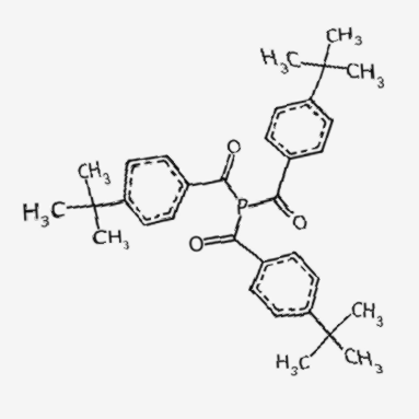 CC(C)(C)c1ccc(C(=O)P(C(=O)c2ccc(C(C)(C)C)cc2)C(=O)c2ccc(C(C)(C)C)cc2)cc1